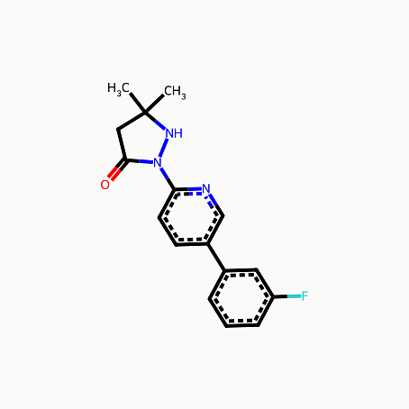 CC1(C)CC(=O)N(c2ccc(-c3cccc(F)c3)cn2)N1